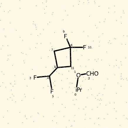 CC(C)OC=O.FC(F)C1CC(F)(F)C1